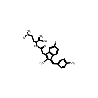 C=C(O)C(CC[S+](C)[O-])NC(=O)CC1=C(C)/C(=C/c2ccc(C)cc2)c2ccc(F)cc21